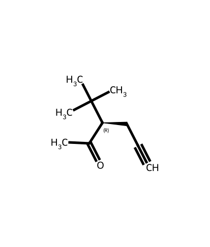 C#CC[C@@H](C(C)=O)C(C)(C)C